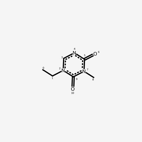 CCn1cnc(=O)n(C)c1=O